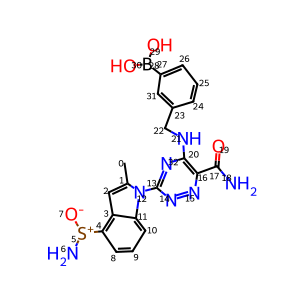 Cc1cc2c([S+](N)[O-])cccc2n1-c1nnc(C(N)=O)c(NCc2cccc(B(O)O)c2)n1